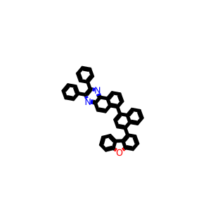 c1ccc(-c2nc3ccc4c(-c5ccc(-c6cccc7oc8ccccc8c67)c6ccccc56)cccc4c3nc2-c2ccccc2)cc1